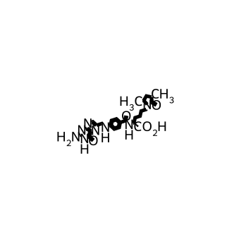 CC1CC(C)N(CCCC[C@H](NC(=O)c2ccc(NCc3cnc4nc(N)[nH]c(=O)c4n3)cc2)C(=O)O)C1=O